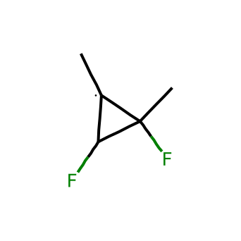 C[C]1C(F)C1(C)F